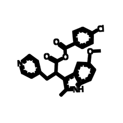 COc1ccc2[nH]c(C)c(C(Cc3ccncc3)C(=O)OC(=O)c3ccc(Cl)cc3)c2c1